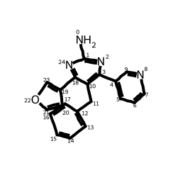 Nc1nc(-c2cccnc2)c(Cc2ccccc2)c(-c2ccoc2)n1